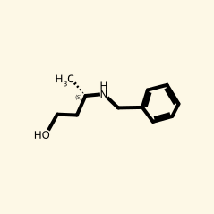 C[C@@H](CCO)NCc1ccccc1